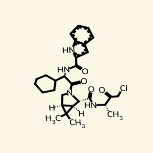 C[C@H](NC(=O)[C@@H]1[C@@H]2[C@H](CN1C(=O)[C@@H](NC(=O)c1cc3ccccc3[nH]1)C1CCCCC1)C2(C)C)C(=O)CCl